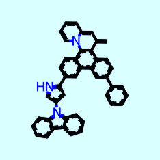 C=C1C=C2C=CC=CN2c2c1c1ccc(-c3ccccc3)cc1c1cc(-c3cc(-n4c5ccccc5c5ccccc54)c[nH]3)ccc21